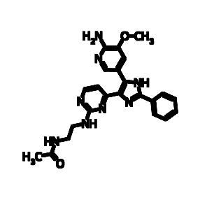 COc1cc(-c2[nH]c(-c3ccccc3)nc2-c2ccnc(NCCNC(C)=O)n2)cnc1N